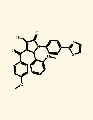 COc1ccc(C(=O)C2=C(O)C(=O)N(c3ccc(-c4nccs4)cc3)C2c2ccccc2OC)cc1